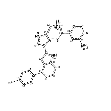 C=C(/C=c1/c(-c2cc3c(-c4ccc(F)cc4)cccc3[nH]2)n[nH]/c1=C/C)c1cccc(N)c1